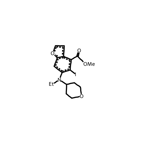 CCN(c1cc2occc2c(C(=O)OC)c1I)C1CCOCC1